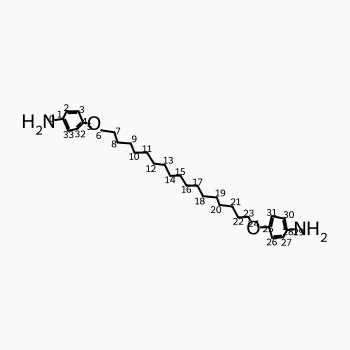 Nc1ccc(OCCCCCCCCCCCCCCCCCCOc2ccc(N)cc2)cc1